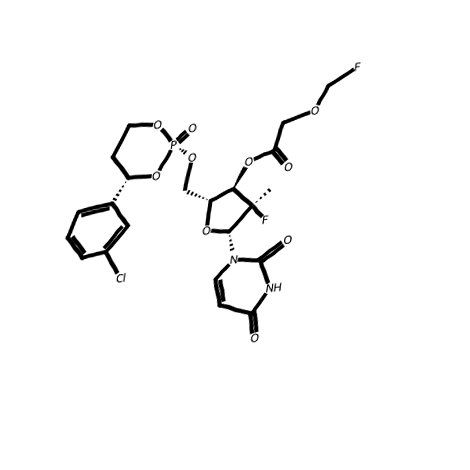 C[C@@]1(F)[C@H](OC(=O)COCF)[C@@H](CO[P@@]2(=O)OCC[C@@H](c3cccc(Cl)c3)O2)O[C@H]1n1ccc(=O)[nH]c1=O